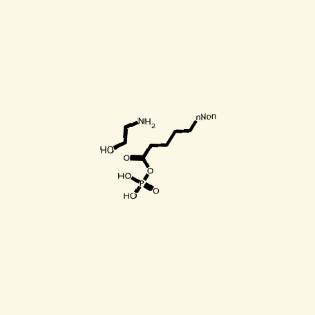 CCCCCCCCCCCCCC(=O)OP(=O)(O)O.NCCO